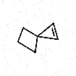 C1=CC12CCC2